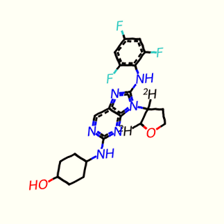 [2H]C1OCCC1([2H])n1c(Nc2c(F)cc(F)cc2F)nc2cnc(NC3CCC(O)CC3)nc21